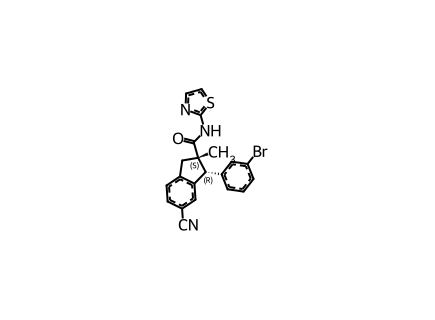 C[C@]1(C(=O)Nc2nccs2)Cc2ccc(C#N)cc2[C@H]1c1cccc(Br)c1